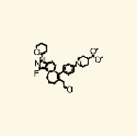 COC(OC)C1CCN(c2ccc(C3=C(CC=O)CCCc4c3ccc3c4c(F)nn3C3CCCCO3)cc2)CC1